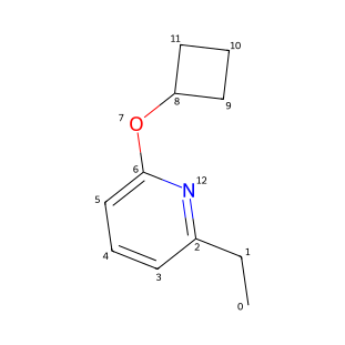 CCc1cccc(OC2CCC2)n1